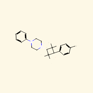 CC(C)c1ccc([C@]2(O)C(C)(C)[C@@H](N3CCN(c4ccccc4)CC3)C2(C)C)cc1